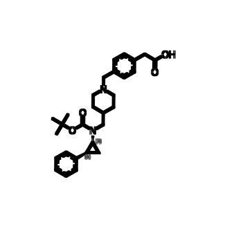 CC(C)(C)OC(=O)N(CC1CCN(Cc2ccc(CC(=O)O)cc2)CC1)[C@@H]1C[C@H]1c1ccccc1